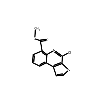 COC(=O)c1cccc2c1nc(Cl)c1sccc12